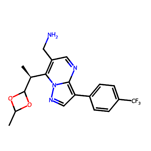 CC1OC([C@@H](C)c2c(CN)cnc3c(-c4ccc(C(F)(F)F)cc4)cnn23)O1